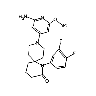 CC(C)Oc1cc(N2CCC3(CCCC(=O)N3c3ccc(F)c(F)c3)CC2)nc(N)n1